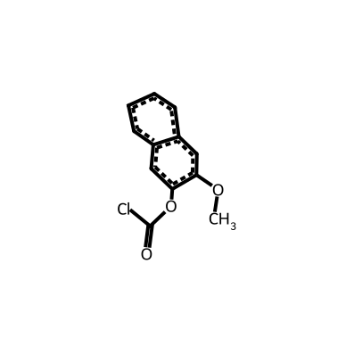 COc1cc2ccccc2cc1OC(=O)Cl